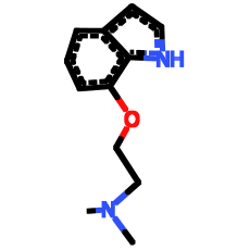 CN(C)CCOc1cccc2cc[nH]c12